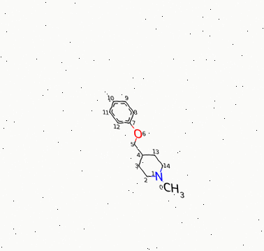 CN1CCC(COc2cc[c]cc2)CC1